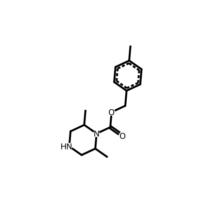 Cc1ccc(COC(=O)N2C(C)CNCC2C)cc1